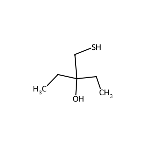 CCC(O)(CC)CS